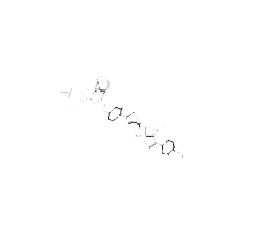 C1CC[SiH2]C1.CCc1ccc(C2=CC[C]([Zr+2][C]3=C(C)C(c4ccc(CC)cc4)=CC3)=C2C)cc1.[Cl-].[Cl-]